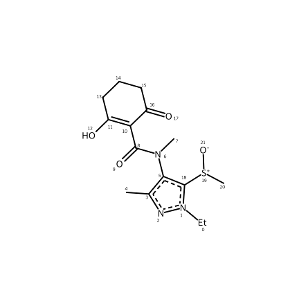 CCn1nc(C)c(N(C)C(=O)C2=C(O)CCCC2=O)c1[S+](C)[O-]